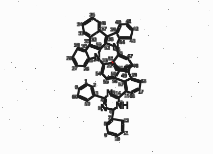 c1ccc(C2=NC(c3ccccc3)NC(c3cccc4oc5cc(-n6c7ccccc7c7c8ccccc8c8c9ccccc9n(-c9ccccc9)c8c76)ccc5c34)=N2)cc1